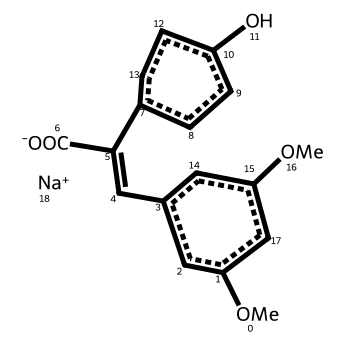 COc1cc(C=C(C(=O)[O-])c2ccc(O)cc2)cc(OC)c1.[Na+]